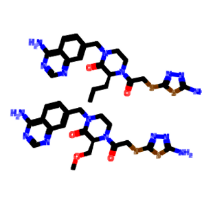 CCC[C@H]1C(=O)N(Cc2ccc3c(N)ncnc3c2)CCN1C(=O)CSc1nnc(N)s1.COC[C@H]1C(=O)N(Cc2ccc3c(N)ncnc3c2)CCN1C(=O)CSc1nnc(N)s1